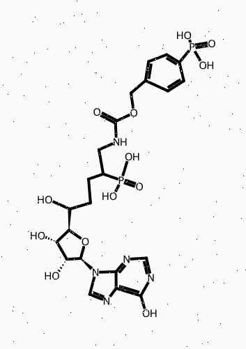 O=C(NCC(CCC(O)[C@H]1O[C@@H](n2cnc3c(O)ncnc32)[C@H](O)[C@@H]1O)P(=O)(O)O)OCc1ccc(P(=O)(O)O)cc1